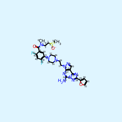 CN(CC[S+](C)[O-])C(=O)c1cc(N2CCN(CCn3ncc4c3nc(N)n3nc(-c5ccco5)nc43)CC2)c(F)cc1F